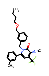 [C-]#[N+]c1c(C(F)(F)F)cc(-c2cccc(C)c2)n(Cc2cccc(COCCCC)c2)c1=O